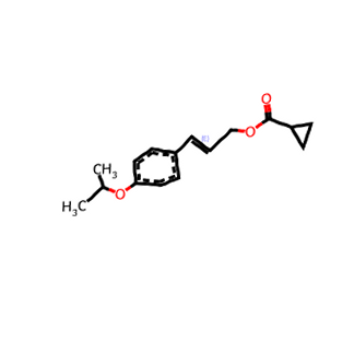 CC(C)Oc1ccc(/C=C/COC(=O)C2CC2)cc1